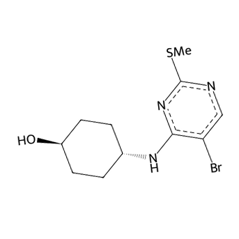 CSc1ncc(Br)c(N[C@H]2CC[C@H](O)CC2)n1